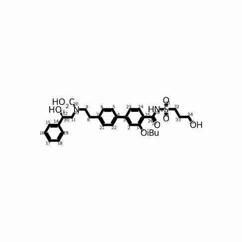 CC(C)COc1cc(-c2ccc(CCN(C[C@H](O)c3ccccc3)C(=O)O)cc2)ccc1C(=O)NS(=O)(=O)CCCO